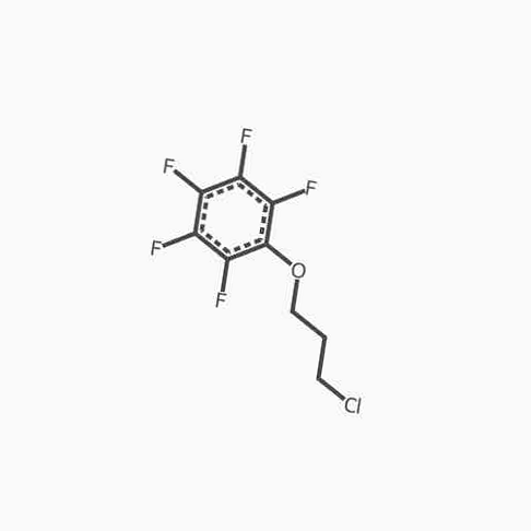 Fc1c(F)c(F)c(OCCCCl)c(F)c1F